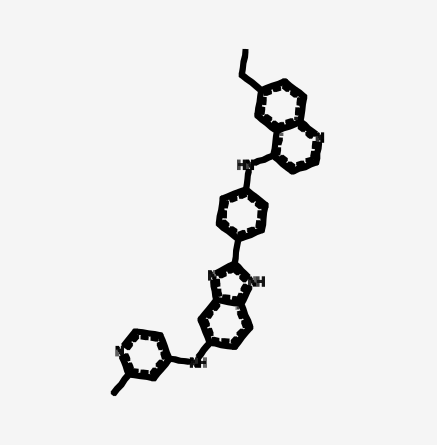 CCc1ccc2nccc(Nc3ccc(-c4nc5cc(Nc6ccnc(C)c6)ccc5[nH]4)cc3)c2c1